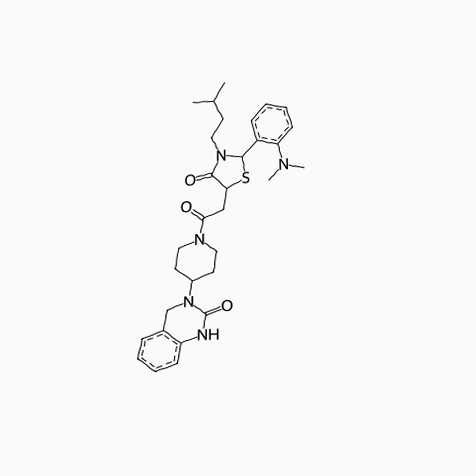 CC(C)CCN1C(=O)C(CC(=O)N2CCC(N3Cc4ccccc4NC3=O)CC2)SC1c1ccccc1N(C)C